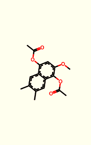 COc1cc(OC(C)=O)c2cc(C)c(C)cc2c1OC(C)=O